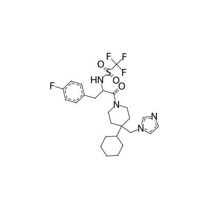 O=C(C(Cc1ccc(F)cc1)NS(=O)(=O)C(F)(F)F)N1CCC(Cn2ccnc2)(C2CCCCC2)CC1